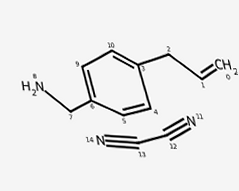 C=CCc1ccc(CN)cc1.N#CC#N